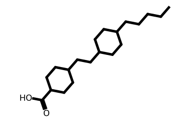 CCCCCC1CCC(CCC2CCC(C(=O)O)CC2)CC1